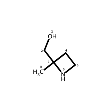 CC1(CO)CCN1